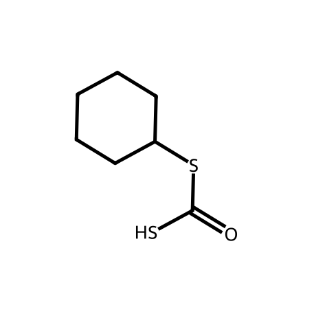 O=C(S)SC1CCCCC1